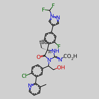 Cc1cccnc1-c1cc(C(CO)N2C(=O)[C@@](CC(C)(C)C)(c3ccc(-c4cnn(C(F)F)c4)cc3F)NC2=NC(=O)O)ccc1Cl